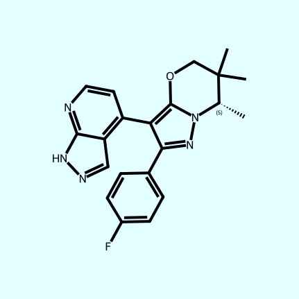 C[C@@H]1n2nc(-c3ccc(F)cc3)c(-c3ccnc4[nH]ncc34)c2OCC1(C)C